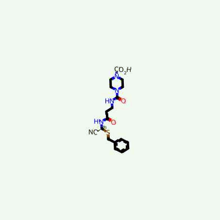 N#C[C@H](NC(=O)CCNC(=O)N1CCN(C(=O)O)CC1)SCc1ccccc1